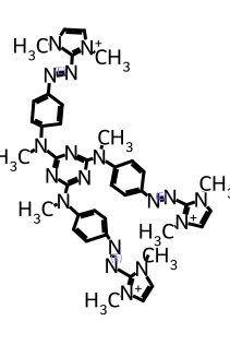 CN(c1ccc(/N=N/c2n(C)cc[n+]2C)cc1)c1nc(N(C)c2ccc(/N=N/c3n(C)cc[n+]3C)cc2)nc(N(C)c2ccc(/N=N/c3n(C)cc[n+]3C)cc2)n1